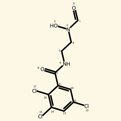 O=CN(O)CCNC(=O)c1cc(Cl)cc(Cl)c1Cl